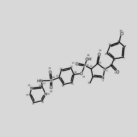 CC1=NN(C(=O)c2ccc(Cl)cc2)C(=O)C1P(=O)(O)Oc1ccc(S(=O)(=O)Nc2ncccn2)cc1